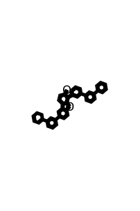 C1=CCCC(c2cccc(-c3ccc4oc5c(ccc6oc7ccc(-c8cccc(-c9ccccc9)c8)cc7c65)c4c3)c2)=C1